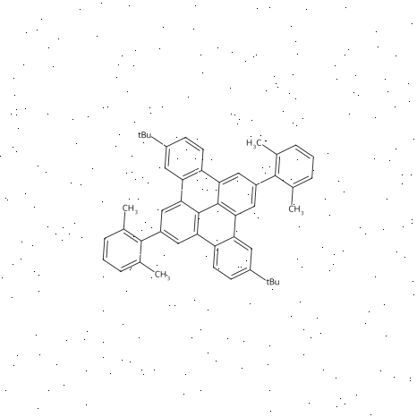 Cc1cccc(C)c1-c1cc2c3ccc(C(C)(C)C)cc3c3cc(-c4c(C)cccc4C)cc4c5ccc(C(C)(C)C)cc5c(c1)c2c43